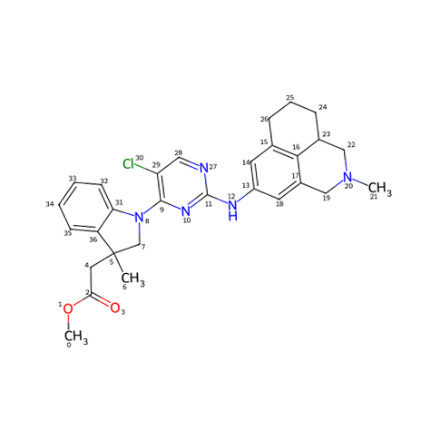 COC(=O)CC1(C)CN(c2nc(Nc3cc4c5c(c3)CN(C)CC5CCC4)ncc2Cl)c2ccccc21